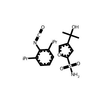 CC(C)(O)c1coc(S(N)(=O)=O)c1.CC(C)c1cccc(C(C)C)c1N=C=O